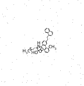 CSCC[C@H](NC(=O)c1ccc(CCc2cccc3ccccc23)cc1-c1ccccc1C)C(=O)O